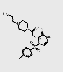 Cc1ccc(S(=O)(=O)N2C=CNC(=O)[C@H]2CC(=O)N2CCN(CCO)CC2)cc1